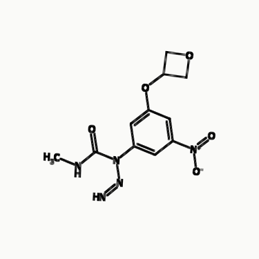 CNC(=O)N(N=N)c1cc(OC2COC2)cc([N+](=O)[O-])c1